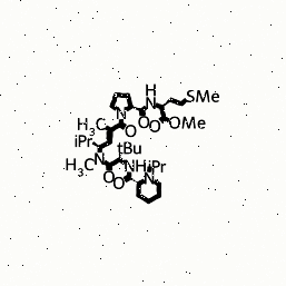 COC(=O)[C@H](CCSC)NC(=O)[C@@H]1CCCN1C(=O)/C(C)=C/[C@H](C(C)C)N(C)C(=O)[C@@H](NC(=O)[C@H]1CCCCN1C(C)C)C(C)(C)C